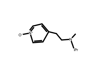 CC(C)N(C)CCc1cc[n+]([O-])cc1